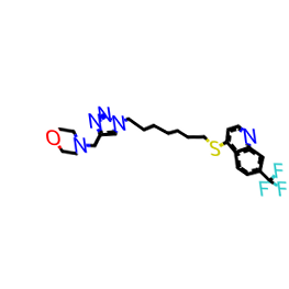 FC(F)(F)c1ccc2c(SCCCCCCCn3cc(CN4CCOCC4)nn3)ccnc2c1